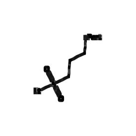 CCCCCCCCS(=O)(=O)CC